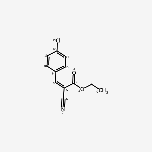 CCOC(=O)/C(C#N)=C\c1ccc(Cl)cc1